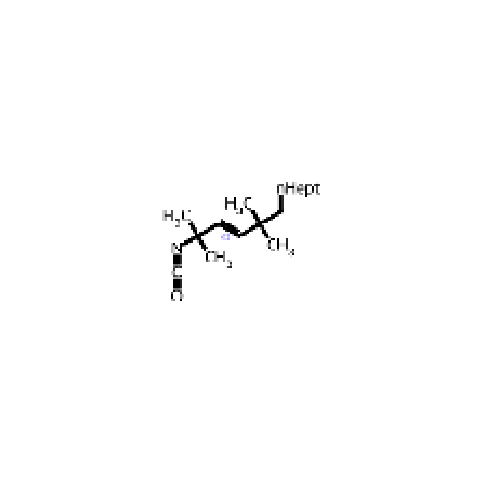 CCCCCCCCC(C)(C)/C=C/C(C)(C)N=C=O